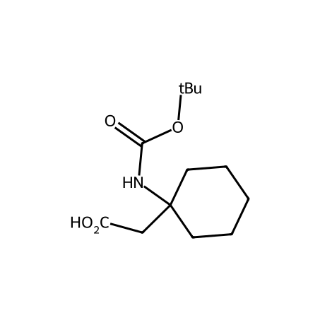 CC(C)(C)OC(=O)NC1(CC(=O)O)CCCCC1